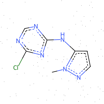 Cn1nccc1Nc1ncnc(Cl)n1